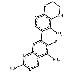 Cc1c(-c2cc3nc(N)ncc3c(N)c2F)cnc2c1NCCO2